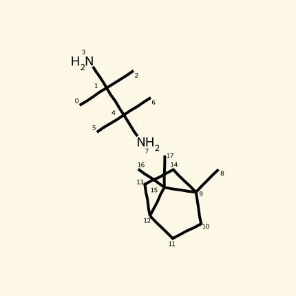 CC(C)(N)C(C)(C)N.CC12CCC(CC1)C2(C)C